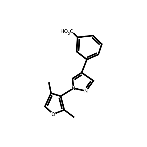 Cc1coc(C)c1-n1cc(-c2cccc(C(=O)O)c2)cn1